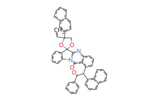 C=CC1(c2ccc3ccccc3c2)COC2(O1)c1ccccc1-n1c2nc2cccc(C(C(=O)c3ccccc3)c3cccc4ccccc34)c2c1=O